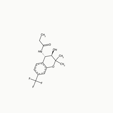 CCC(=O)N[C@H]1c2ccc(C(F)(F)F)cc2OC(C)(C)[C@@H]1O